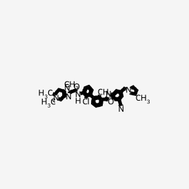 Cc1c(-c2nc3cc(CN4CC[C@H](C)C4)cc(C#N)c3o2)cccc1-c1cccc(NC(=O)c2nc3c(n2C)CC(C)N(C)C3)c1Cl